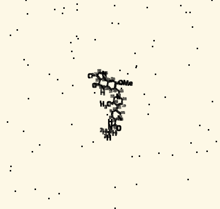 [2H]C([2H])([2H])NC(=O)c1ccc(C2=CCN(Cc3cc4[nH]c(=O)c5c(Cl)cnn5c4cc3OC)CC2C)cn1